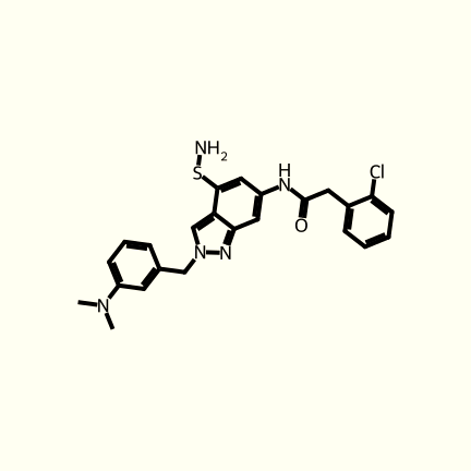 CN(C)c1cccc(Cn2cc3c(SN)cc(NC(=O)Cc4ccccc4Cl)cc3n2)c1